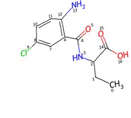 CCC(NC(=O)c1cc(Cl)ccc1N)C(=O)O